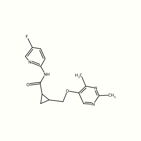 Cc1ncc(OCC2CC2C(=O)Nc2ccc(F)cn2)c(C)n1